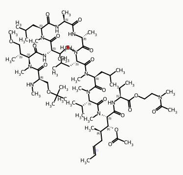 C/C=C/C[C@@H](C)[C@@H](OC(C)=O)[C@@H](C(=O)N[C@@H](CC)C(=O)OCCN(C)C(C)=O)N(C)C(=O)[C@H](C(C)C)N(C)C(=O)[C@H](CC(C)C)N(C)C(=O)[C@H](CC(C)C)N(C)C(=O)[C@@H](C)NC(=O)[C@H](C)NC(=O)[C@H](CC(C)C)N(C)C(=O)[C@@H](NC(=O)[C@H]([C@H](C)COC)N(C)C(=O)[C@@H](COC(C)(C)C)NC)C(C)C